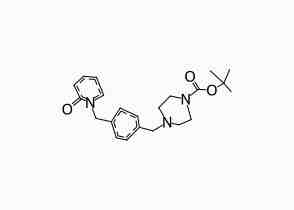 CC(C)(C)OC(=O)N1CCN(Cc2ccc(Cn3ccccc3=O)cc2)CC1